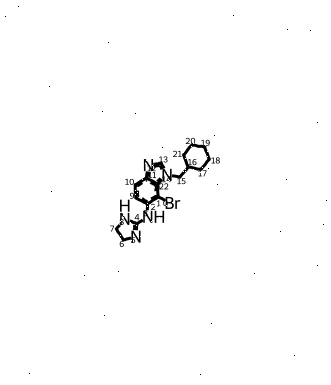 Brc1c(NC2=NCCN2)ccc2ncn(CC3CCCCC3)c12